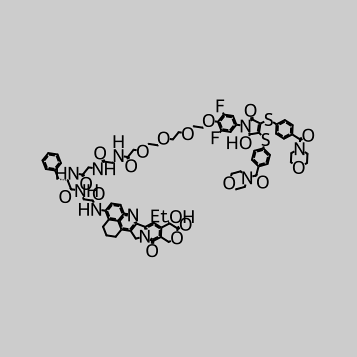 CC[C@@]1(O)C(=O)OCc2c1cc1n(c2=O)Cc2c-1nc1ccc(NC(=O)CNC(=O)[C@H](Cc3ccccc3)NC(=O)CNC(=O)CNC(=O)COCCOCCOCCOc3c(F)cc(N4C(=O)C(Sc5ccc(C(=O)N6CCOCC6)cc5)=C(Sc5ccc(C(=O)N6CCOCC6)cc5)C4O)cc3F)c3c1c2CCC3